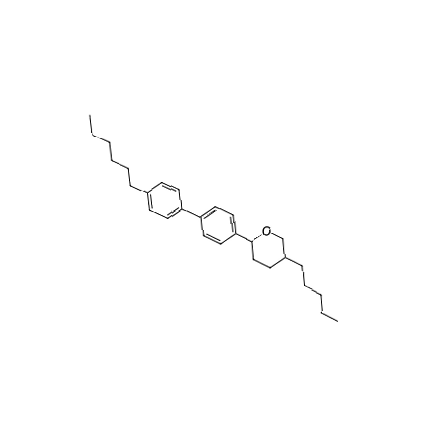 CCCCCCc1ccc(-c2ccc(C3CCC(CCCCC)CO3)cc2)cc1